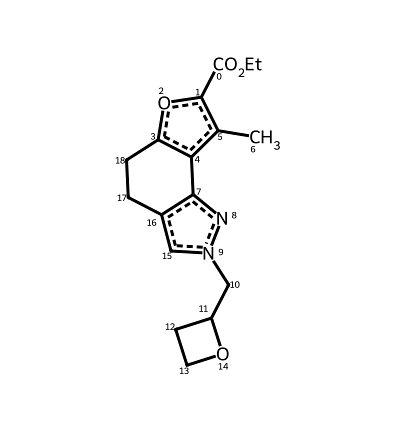 CCOC(=O)c1oc2c(c1C)-c1nn(CC3CCO3)cc1CC2